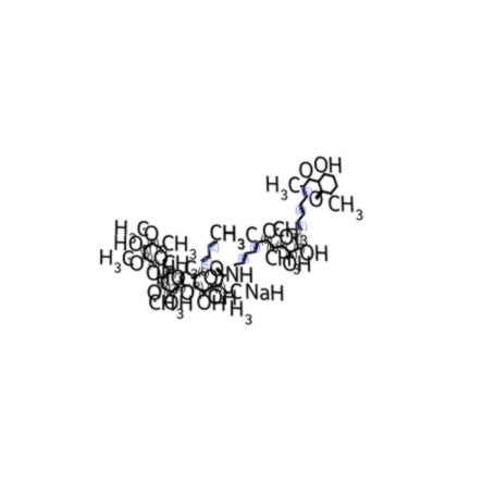 C/C=C/C=C/[C@@H]1O[C@](O)([C@H](CC)C(=O)NC/C=C/C=C(\C)[C@@H](OC)[C@@H](C)[C@@H]2O[C@H](/C=C/C=C/C=C(\C)C(=O)C3C(=O)C(C)CCC3O)[C@H](O)[C@@H]2O)[C@H](O)[C@H](O[C@@H]2O[C@H](C)[C@@H](O[C@@H]3O[C@@H](C)[C@H](OC)[C@@H](O)[C@H]3OC)[C@@H](OC)[C@H]2O)C1(C)C.[NaH]